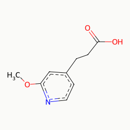 COc1cc(CCC(=O)O)ccn1